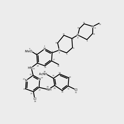 COc1nc(N2CCC(N3CCN(C)CC3)CC2)c(C)cc1Nc1ncc(Cl)c(Nc2cc(Cl)ccc2NC(C)=O)n1